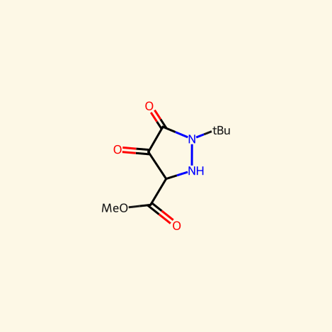 COC(=O)C1NN(C(C)(C)C)C(=O)C1=O